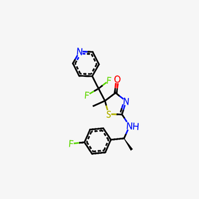 C[C@H](NC1=NC(=O)C(C)(C(F)(F)c2ccncc2)S1)c1ccc(F)cc1